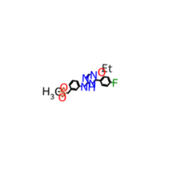 CCOc1cc(F)ccc1-c1ncnc(Nc2cccc(CS(C)(=O)=O)c2)n1